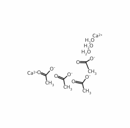 CC(=O)[O-].CC(=O)[O-].CC(=O)[O-].CC(=O)[O-].O.O.O.[Ca+2].[Ca+2]